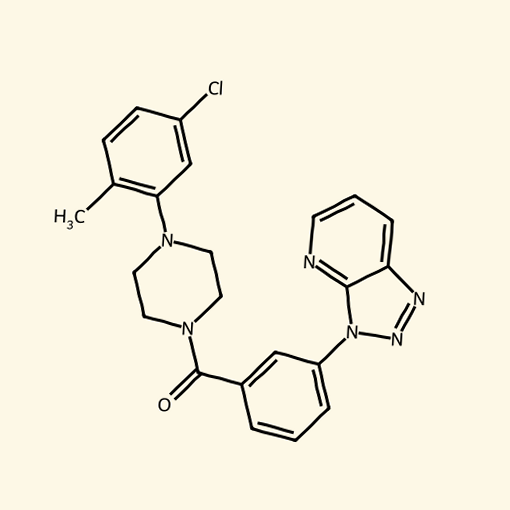 Cc1ccc(Cl)cc1N1CCN(C(=O)c2cccc(-n3nnc4cccnc43)c2)CC1